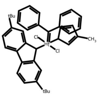 CC1=C[CH]([Hf]([Cl])([Cl])(=[C](c2ccccc2)c2ccccc2)[CH]2c3cc(C(C)(C)C)ccc3-c3ccc(C(C)(C)C)cc32)C=C1